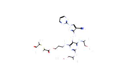 COCC(C)Nc1nc(NCCCOC(=O)C(C)SC(C)C=O)c(N=Nc2nn(-c3ncccn3)cc2C#N)c(NC(C)COC)n1